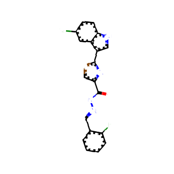 O=C(N/N=C/c1ccccc1Br)c1csc(-c2c[nH]c3ccc(Br)cc23)n1